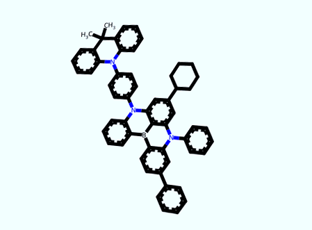 CC1(C)c2ccccc2N(c2ccc(N3c4ccccc4B4c5ccc(-c6ccccc6)cc5N(c5ccccc5)c5cc(C6CCCCC6)cc3c54)cc2)c2ccccc21